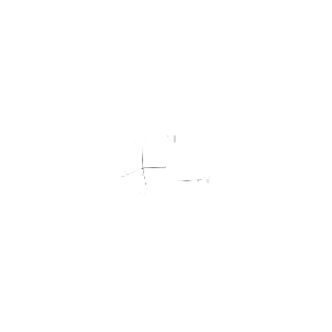 CCCCCC(Cl)(Cl)Cl.[AlH3]